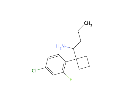 CCCC(N)C1(c2ccc(Cl)cc2F)CCC1